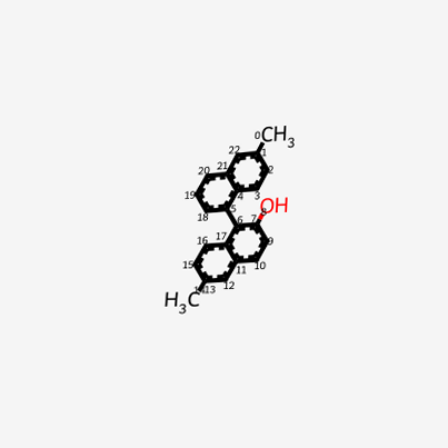 Cc1ccc2c(-c3c(O)ccc4cc(C)ccc34)cccc2c1